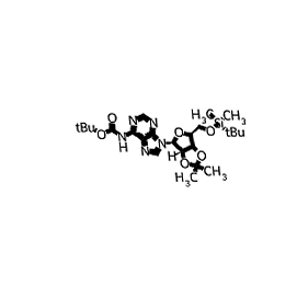 CC(C)(C)OC(=O)Nc1ncnc2c1ncn2[C@H]1O[C@@H](CO[Si](C)(C)C(C)(C)C)C2OC(C)(C)O[C@H]21